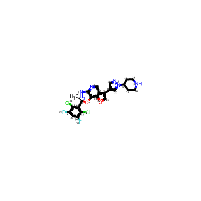 C[C@@H](Oc1c(N)ncc2c(-c3cnn(C4CCNCC4)c3)coc12)c1c(Cl)c(F)cc(F)c1Cl